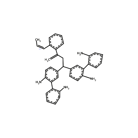 C=C(CC(c1ccc(N)c(-c2ccccc2N)c1)c1ccc(N)c(-c2ccccc2N)c1)c1ccccc1/C=C\C